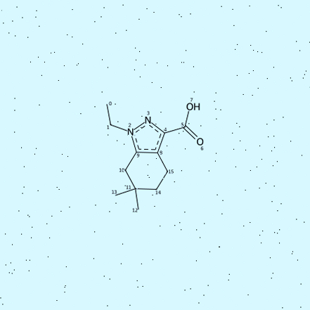 CCn1nc(C(=O)O)c2c1CC(C)(C)CC2